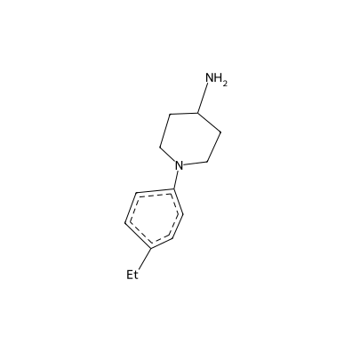 CCc1ccc(N2CCC(N)CC2)cc1